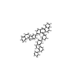 c1ccc(-c2cccc3c2ccc2ccc(-c4cccc(N5c6cc(-c7ccc8oc9c%10ccccc%10ccc9c8c7)ccc6Sc6c5ccc5ccccc65)c4)cc23)cc1